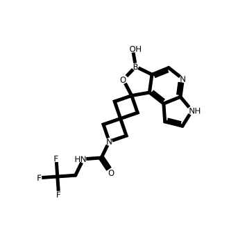 O=C(NCC(F)(F)F)N1CC2(C1)CC1(C2)OB(O)c2cnc3[nH]ccc3c21